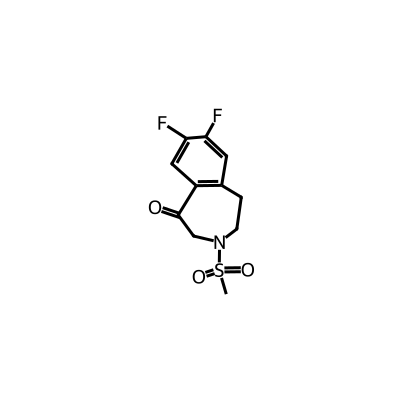 CS(=O)(=O)N1CCc2cc(F)c(F)cc2C(=O)C1